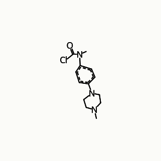 CN1CCN(c2ccc(N(C)C(=O)Cl)cc2)CC1